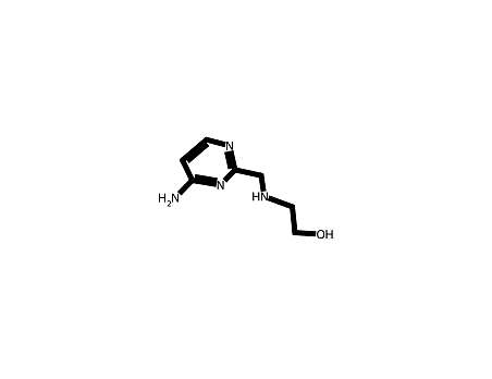 Nc1ccnc(CNCCO)n1